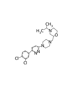 CC(C)N1CCOC(CN2CCN(c3ccc(-c4ccc(Cl)c(Cl)c4)nn3)CC2)C1